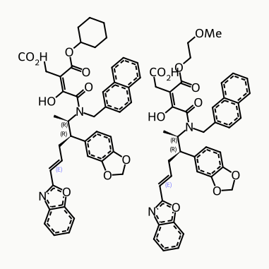 COCCOC(=O)C(CC(=O)O)=C(O)C(=O)N(Cc1ccc2ccccc2c1)[C@H](C)[C@H](C/C=C/c1nc2ccccc2o1)c1ccc2c(c1)OCO2.C[C@H]([C@H](C/C=C/c1nc2ccccc2o1)c1ccc2c(c1)OCO2)N(Cc1ccc2ccccc2c1)C(=O)C(O)=C(CC(=O)O)C(=O)OC1CCCCC1